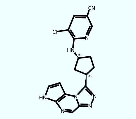 N#Cc1cnc(N[C@H]2CC[C@@H](c3nnc4cnc5[nH]ccc5n34)C2)c(Cl)c1